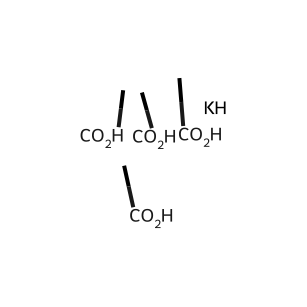 CC(=O)O.CC(=O)O.CC(=O)O.CC(=O)O.[KH]